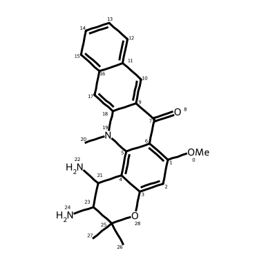 COc1cc2c(c3c1c(=O)c1cc4ccccc4cc1n3C)C(N)C(N)C(C)(C)O2